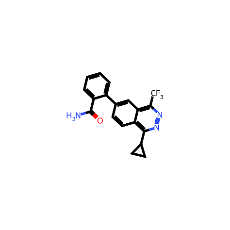 NC(=O)c1ccccc1-c1ccc2c(C3CC3)nnc(C(F)(F)F)c2c1